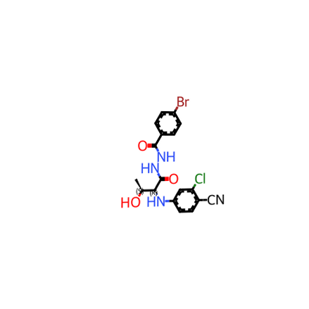 C[C@H](O)[C@@H](Nc1ccc(C#N)c(Cl)c1)C(=O)NNC(=O)c1ccc(Br)cc1